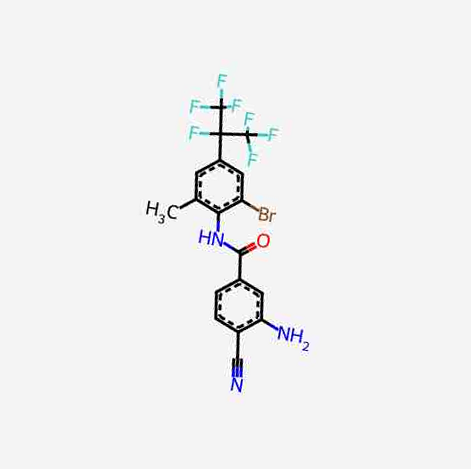 Cc1cc(C(F)(C(F)(F)F)C(F)(F)F)cc(Br)c1NC(=O)c1ccc(C#N)c(N)c1